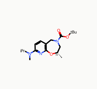 CC(C)N(C)c1ccc2c(n1)O[C@@H](C)CN(C(=O)OC(C)(C)C)C2